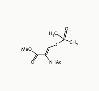 COC(=O)/C(=C/CP(C)(C)=O)NC(C)=O